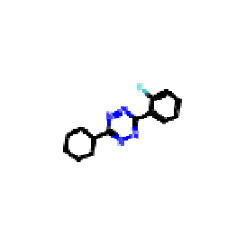 Fc1ccccc1-c1nnc(C2CCCCC2)nn1